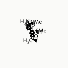 CNC(=O)c1c(N)nn2ccc(-c3cc4c(c(NSC)c3)C(=O)N(C(C)C3CC3)C4)nc12